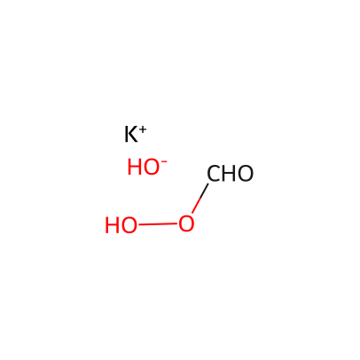 O=COO.[K+].[OH-]